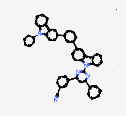 N#Cc1cccc(-c2cc(-c3ccccc3)nc(-n3c4ccccc4c4cc(-c5cccc(-c6ccc7c(c6)c6ccccc6n7-c6ccccc6)c5)ccc43)n2)c1